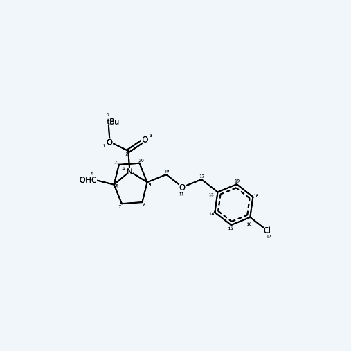 CC(C)(C)OC(=O)N1C2(C=O)CCC1(COCc1ccc(Cl)cc1)CC2